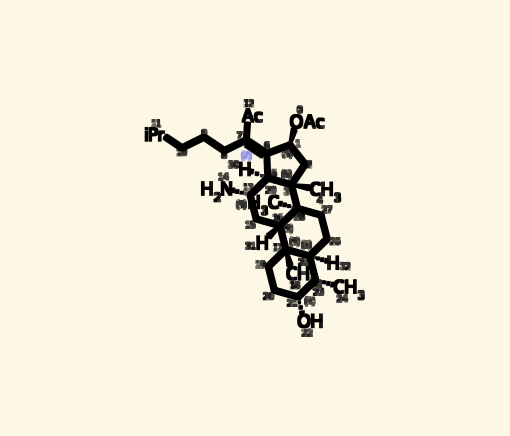 CC(=O)O[C@H]1C[C@@]2(C)[C@H](/C1=C(\CCCC(C)C)C(C)=O)[C@@H](N)C[C@H]1[C@@]3(C)CC[C@@H](O)[C@@H](C)[C@@H]3CC[C@@]12C